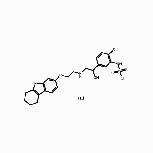 CS(=O)(=O)Nc1cc(C(O)CNCCOc2ccc3c4c([nH]c3c2)CCCC4)ccc1O.Cl